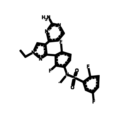 [CH2]N(c1ccc(F)c(-c2nn(CC)cc2-c2ccnc(N)n2)c1F)S(=O)(=O)c1cc(F)ccc1F